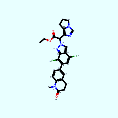 CCOC(=O)C(c1ncn2c1CCC2)n1cc2c(Cl)cc(-c3ccc4c(c3)CCC(=O)N4C)c(F)c2n1